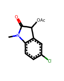 CC(=O)OC1C(=O)N(C)c2ccc(Cl)cc21